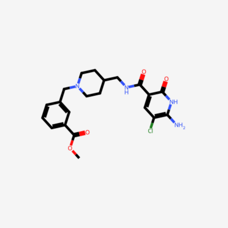 COC(=O)c1cccc(CN2CCC(CNC(=O)c3cc(Cl)c(N)[nH]c3=O)CC2)c1